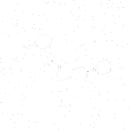 CC(=O)N1CCCC(CC(=O)N2CCOC(CC(=O)N3CCSCC3)C2)C1